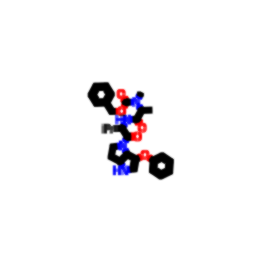 CC(C)C(NC(=O)C(C)N(C)C(=O)OCc1ccccc1)C(=O)N1CCC2NC=C(Oc3ccccc3)C21